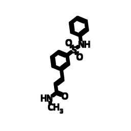 CNC(=O)/C=C/c1cccc(S(=O)(=O)Nc2ccccc2)c1